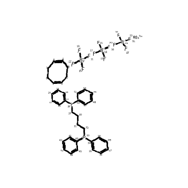 C1=CCCC=CCC1.F[B-](F)(F)F.F[B-](F)(F)F.F[B-](F)(F)F.[Rh+3].c1ccc(P(CCCCP(c2ccccc2)c2ccccc2)c2ccccc2)cc1